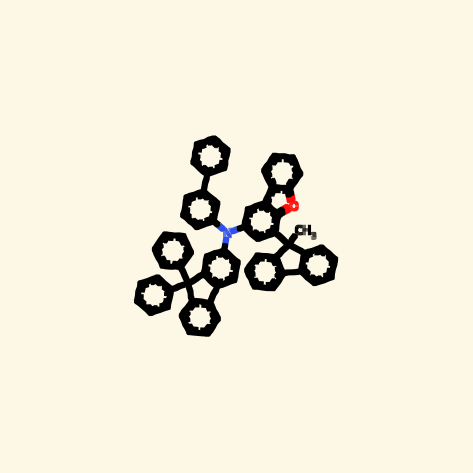 CC1(c2cc(N(c3cccc(-c4ccccc4)c3)c3ccc4c(c3)C(c3ccccc3)(c3ccccc3)c3ccccc3-4)cc3c2oc2ccccc23)c2ccccc2-c2ccccc21